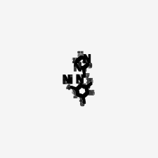 Cc1cc(C)c(N=Cc2cnccn2)c(C)c1.[Ni]